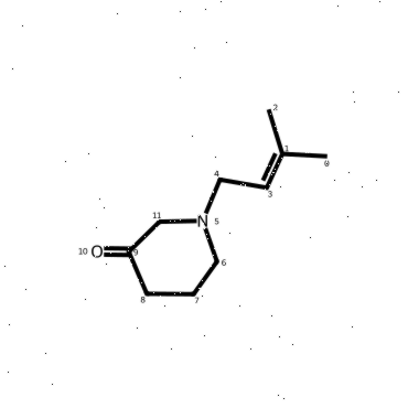 CC(C)=CCN1CCCC(=O)C1